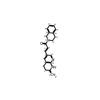 C=C1CCc2cc(/C=C/C(=O)N3CCc4ccccc4C3)cnc2N1